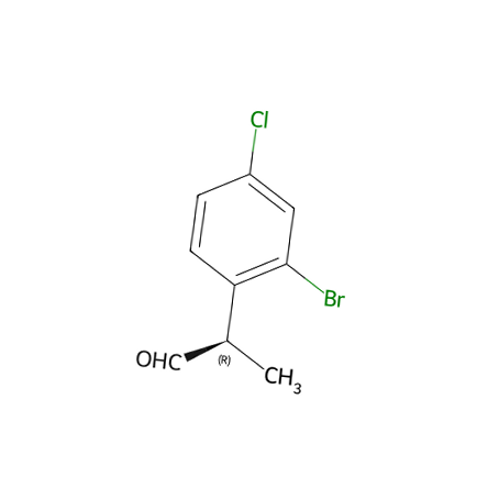 C[C@@H](C=O)c1ccc(Cl)cc1Br